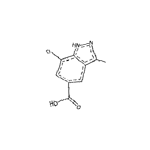 Cc1n[nH]c2c(Cl)cc(C(=O)O)cc12